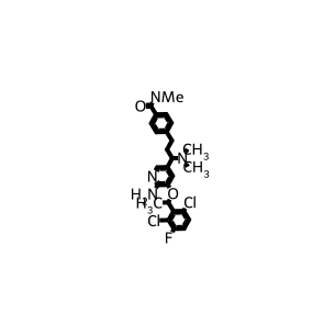 CNC(=O)c1ccc(CCC(c2cnc(N)c(OC(C)c3c(Cl)ccc(F)c3Cl)c2)N(C)C)cc1